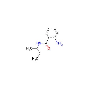 CCC(C)NC(=O)c1ccccc1N